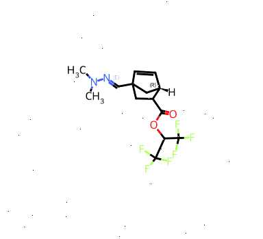 CN(C)/N=C/C12C=C[C@@H](C1)C(C(=O)OC(C(F)(F)F)C(F)(F)F)C2